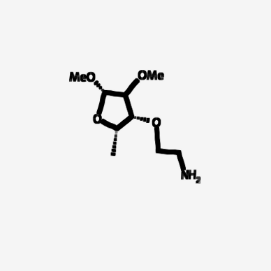 COC1[C@@H](OC)O[C@@H](C)[C@H]1OCCN